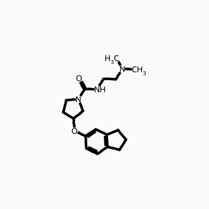 CN(C)CCNC(=O)N1CCC(Oc2ccc3c(c2)CCC3)C1